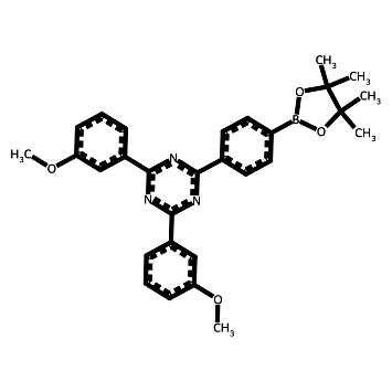 COc1cccc(-c2nc(-c3ccc(B4OC(C)(C)C(C)(C)O4)cc3)nc(-c3cccc(OC)c3)n2)c1